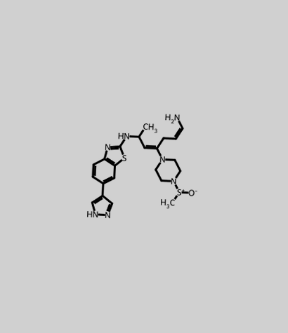 CC(/C=C(\C/C=C\N)N1CCN([S+](C)[O-])CC1)Nc1nc2ccc(-c3cn[nH]c3)cc2s1